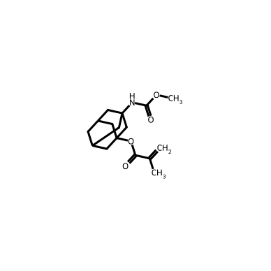 C=C(C)C(=O)OC12CC3CC(CC(NC(=O)OC)(C3)C1)C2